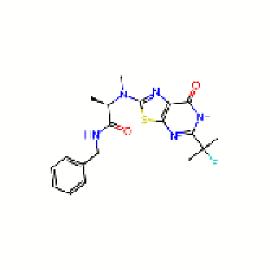 C[C@H](C(=O)NCc1ccccc1)N(C)c1nc2c(=O)[nH]c(C(C)(C)F)nc2s1